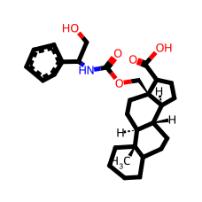 C[C@]12CCCCC1CC[C@H]1[C@@H]3CCC(C(=O)O)[C@@]3(COC(=O)NC(CO)c3ccccc3)CC[C@@H]12